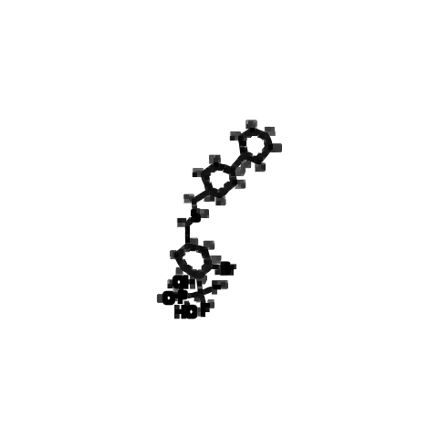 O=P(O)(O)C(F)(F)c1ccc(CSCc2ccc(-c3ccccc3)cc2)cc1Br